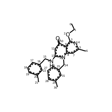 CCOc1nc(C)cc2c1c(=O)cc(NCc1cccc(C)c1)n2Cc1cccc(C)c1